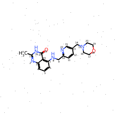 Cc1nc2cccc(NCc3ccc(CN4CCOCC4)cn3)c2c(=O)[nH]1